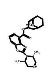 C[C@@H]1CNC[C@@H](C)N1c1nc2c(C(=O)NC3CC4CCCC(C3)N4C)cccc2o1